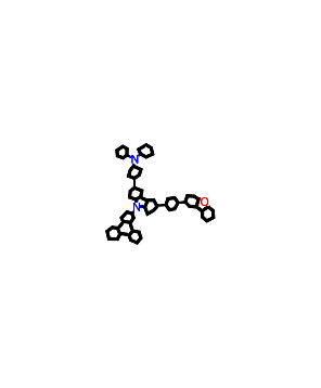 c1ccc(N(c2ccccc2)c2ccc(-c3ccc4c(c3)c3cc(-c5ccc(-c6ccc7oc8ccccc8c7c6)cc5)ccc3n4-c3ccc4c5ccccc5c5ccccc5c4c3)cc2)cc1